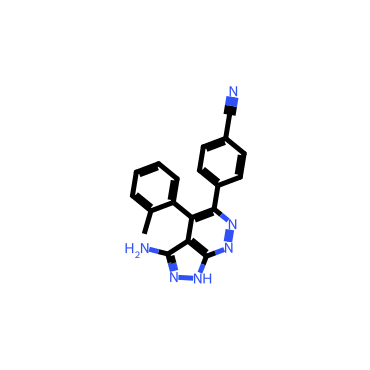 Cc1ccccc1-c1c(-c2ccc(C#N)cc2)nnc2[nH]nc(N)c12